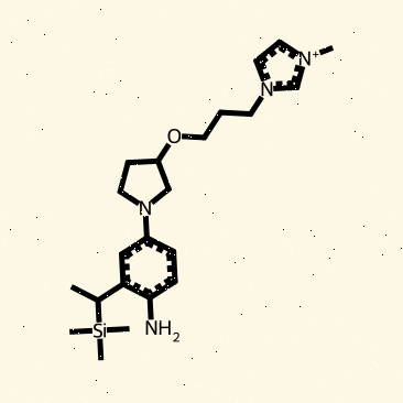 CC(c1cc(N2CCC(OCCCn3cc[n+](C)c3)C2)ccc1N)[Si](C)(C)C